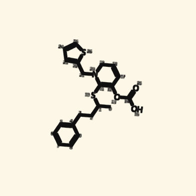 CC(CCc1ccccc1)SC1=C(OC(=O)O)C=CCN1Cc1cccs1